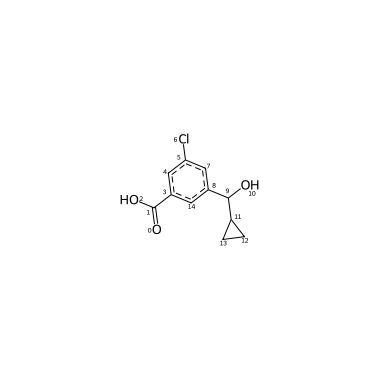 O=C(O)c1cc(Cl)cc(C(O)C2CC2)c1